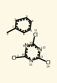 Cc1ccccc1.Clc1nc(Cl)nc(Cl)n1